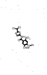 CCC(CC)c1nnc(NC(=O)c2cc(OC)c(OC(C)C)cc2[N+](=O)[O-])s1